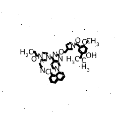 C=CC(=O)N1CCN(c2nc(OCC3CCN(C(=O)c4cc(C(C)C)c(O)cc4OC)C3)nc3c2CCN(c2cccc4cccc(Cl)c24)C3)C[C@@H]1CC#N